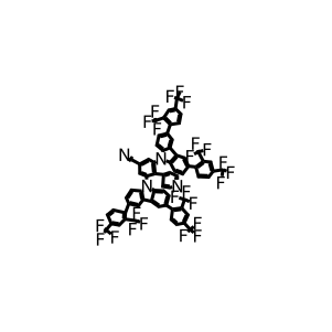 N#Cc1cc(-n2c3ccc(-c4ccc(C(F)(F)F)cc4C(F)(F)F)cc3c3cc(-c4ccc(C(F)(F)F)cc4C(F)(F)F)ccc32)c(-c2ccncc2)c(-n2c3ccc(-c4ccc(C(F)(F)F)cc4C(F)(F)F)cc3c3cc(-c4ccc(C(F)(F)F)cc4C(F)(F)F)ccc32)c1